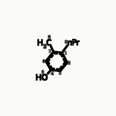 CCCc1ccc(O)cc1C